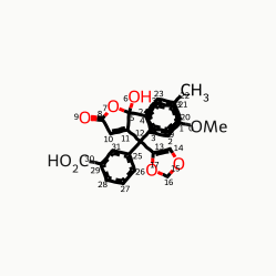 COc1ccc(C2(O)OC(=O)C=C2C(C2=COCO2)(c2ccc(C)cc2)c2cccc(C(=O)O)c2)cc1